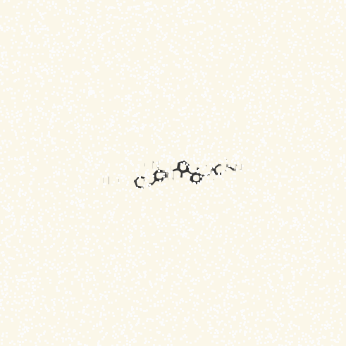 Cc1c(-c2nc3cc(CN4CCC(C(=O)O)CC4)cc(C#N)c3o2)cccc1-c1cccc(-c2nc3c(s2)CN(C(=O)CN(C)C)C3)c1C